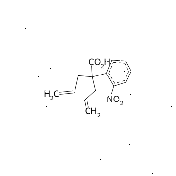 C=CCC(CC=C)(C(=O)O)c1ccccc1[N+](=O)[O-]